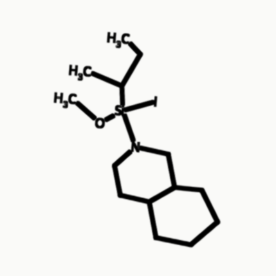 CCC(C)[Si](I)(OC)N1CCC2CCCCC2C1